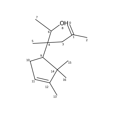 C=C(C)CC(C)(C(C)O)C1CC=C(C)C1(C)C